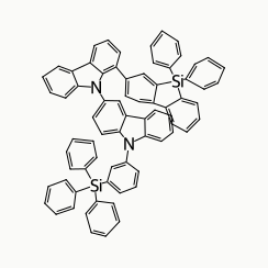 c1ccc([Si](c2ccccc2)(c2ccccc2)c2cccc(-n3c4ccccc4c4cc(-n5c6ccccc6c6cccc(-c7ccc8c(c7)[Si](c7ccccc7)(c7ccccc7)c7ccccc7-8)c65)ccc43)c2)cc1